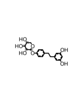 Oc1cc(O)cc(CCc2ccc(O[C@H]3OC[C@@H](O)[C@H](O)[C@H]3O)cc2)c1